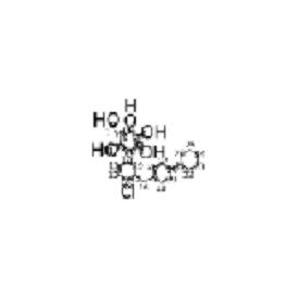 OC[C@@H]1[C@@H](O)[C@H](O)[C@@H](O)[C@H](c2ccc(Cl)c(Cc3ccc(C4CCCCC4)cc3)c2)[C@H]1O